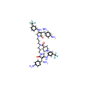 Nc1ccc([C@@H](N)C2=C(Nc3cccc(C(F)(F)F)c3)CN(CCCN(CCCN3CC(Nc4cccc(C(F)(F)F)c4)=C([C@H](N)c4ccc(N)cc4)C3=O)C(=O)C3CCNCC3)C2=O)cc1